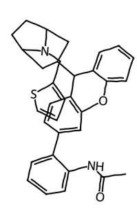 CC(=O)Nc1ccccc1-c1ccc2c(c1)Oc1ccccc1C2C1CC2CCC(C1)N2Cc1cccs1